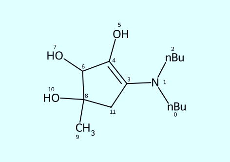 CCCCN(CCCC)C1=C(O)C(O)C(C)(O)C1